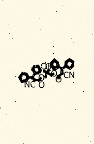 N#CC(C(=O)OCC(CO)(CO)COC(=O)C(C#N)=C(c1ccccc1)c1ccccc1)=C(c1ccccc1)c1ccccc1